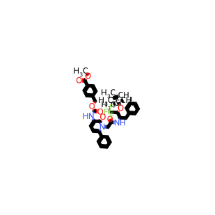 COC(=O)c1ccc(COC(=O)Nc2ccc(-c3ccccc3)n(CC(=O)NC(Cc3ccccc3)C(O[Si](C)(C)C(C)(C)C)C(F)(F)F)c2=O)cc1